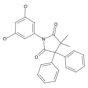 CC1(C)C(=O)N(c2cc(Cl)cc(Cl)c2)C(=O)C1(c1ccccc1)c1ccccc1